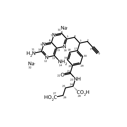 C#CCC(Cc1cnc2nc(N)nc(N)c2n1)c1ccc(C(=O)N[C@@H](CCC(=O)O)C(=O)O)cc1.[Na].[Na]